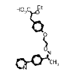 CCOC(Cc1ccc(OCCON=C(C)c2ccc(-c3ccccn3)cc2)cc1)C(=O)O